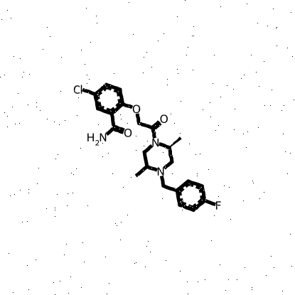 CC1CN(C(=O)COc2ccc(Cl)cc2C(N)=O)[C@@H](C)CN1Cc1ccc(F)cc1